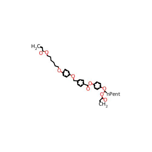 C=CC(=O)OCCCCCCOc1ccc(OCc2ccc(C(=O)Oc3ccc(OC(CCCCC)OC(=O)C=C)cc3)cc2)cc1